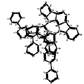 c1ccc(-c2ccc(-c3cc(-c4ccccc4-c4ccccc4)cc(-n4c5ccccc5c5ccc6c7ccccc7n(-c7nc(-c8ccccc8)nc(-c8cccc(-c9ccccc9)c8)n7)c6c54)c3)cc2)cc1